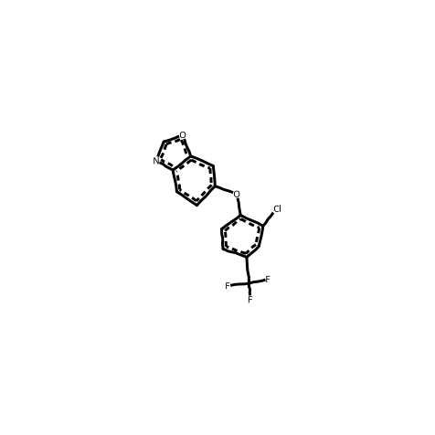 FC(F)(F)c1ccc(Oc2ccc3ncoc3c2)c(Cl)c1